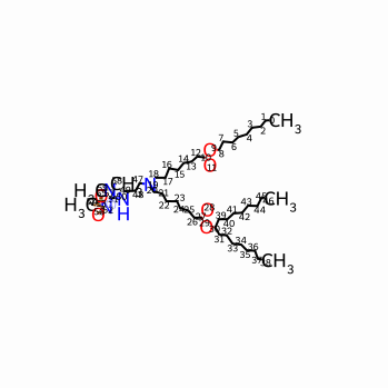 CCCCCCCCCOC(=O)CCCCCCCN(CCCCCCCC(=O)OC(CCCCCCCC)CCCCCCCC)CCCN/C(=N/S(C)(=O)=O)N(C)C